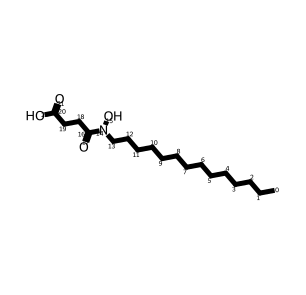 CCCCCCCCCCCCCCN(O)C(=O)CCC(=O)O